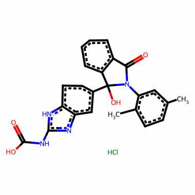 Cc1ccc(C)c(N2C(=O)c3ccccc3C2(O)c2ccc3[nH]c(NC(=O)O)nc3c2)c1.Cl